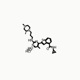 Cc1cnc(NCCCN2CCN(C)C[C@@H]2C)nc1-c1cc2c(C(=O)NC3CC3)cccc2s1.Cl.Cl.Cl